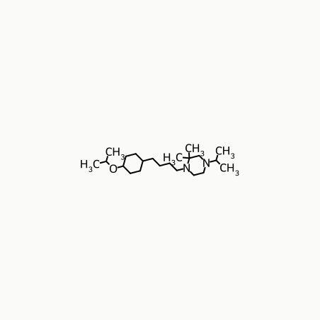 CC(C)OC1CCC(CCCCN2CCN(C(C)C)CC2(C)C)CC1